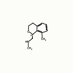 CNC[C@H]1OCCc2cccc(C)c21